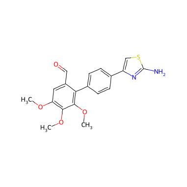 COc1cc(C=O)c(-c2ccc(-c3csc(N)n3)cc2)c(OC)c1OC